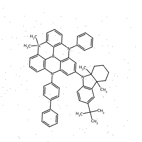 CC(C)(C)c1ccc2c(c1)C1(C)CCCCC1(C)N2c1cc2c3c(c1)N(c1ccc(-c4ccccc4)cc1)c1cccc4c1B3c1c(cccc1[Si]4(C)C)N2c1ccccc1